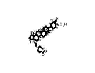 CC(C)[C@@H]1CC[C@]2(NCCN3CCS(=O)(=O)CC3)CC[C@]3(C)[C@H](CC[C@@H]4[C@@]5(C)CC=C(C6CC[C@]7(C(=O)O)C(F)[C@@H]7C6)C(C)(C)[C@@H]5CC[C@]43C)[C@@H]12